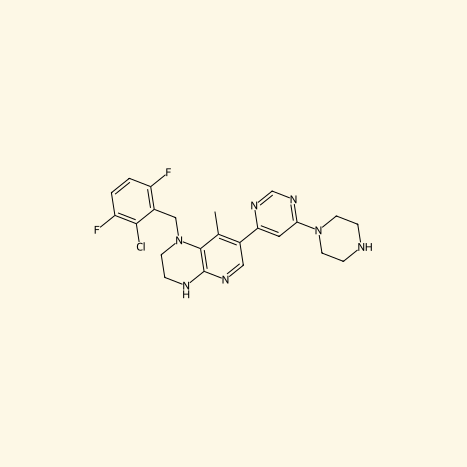 Cc1c(-c2cc(N3CCNCC3)ncn2)cnc2c1N(Cc1c(F)ccc(F)c1Cl)CCN2